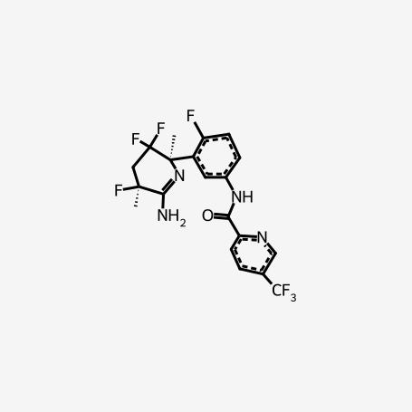 C[C@]1(F)CC(F)(F)[C@@](C)(c2cc(NC(=O)c3ccc(C(F)(F)F)cn3)ccc2F)N=C1N